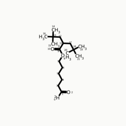 [2H]C(=O)CCCCCOC(=O)C(CC(C)(C)C)CC(C)(C)C